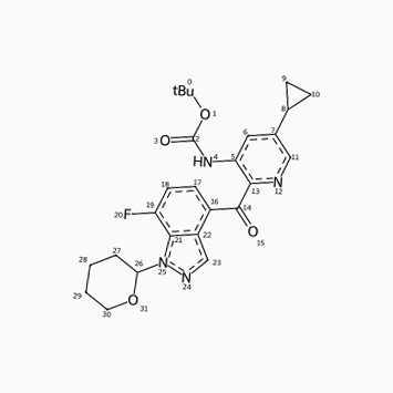 CC(C)(C)OC(=O)Nc1cc(C2CC2)cnc1C(=O)c1ccc(F)c2c1cnn2C1CCCCO1